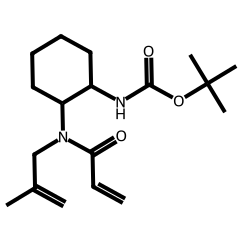 C=CC(=O)N(CC(=C)C)C1CCCCC1NC(=O)OC(C)(C)C